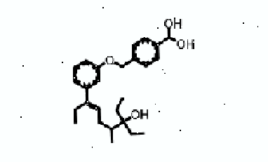 CCC(=CCC(C)C(O)(CC)CC)c1cccc(OCc2ccc(C(O)O)cc2)c1